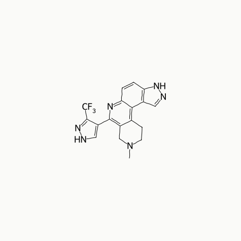 CN1CCc2c(c(-c3c[nH]nc3C(F)(F)F)nc3ccc4[nH]ncc4c23)C1